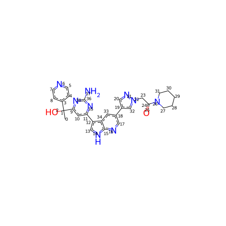 CC(O)(c1ccncc1)c1cc(-c2c[nH]c3ncc(-c4cnn(CC(=O)N5CCCCC5)c4)cc23)nc(N)n1